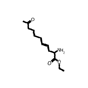 CCOC(=O)C(N)CC=CCCCCC(C)=O